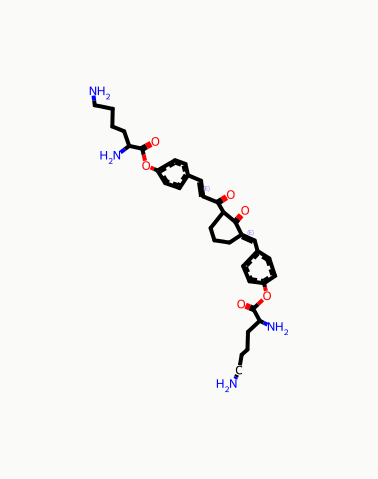 NCCCCC(N)C(=O)Oc1ccc(/C=C/C(=O)C2CCC/C(=C\c3ccc(OC(=O)C(N)CCCCN)cc3)C2=O)cc1